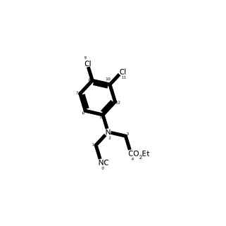 [C-]#[N+]CN(CC(=O)OCC)c1ccc(Cl)c(Cl)c1